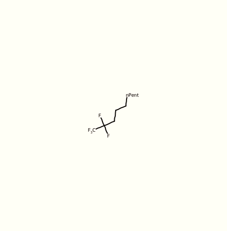 CCCCCCCCC(F)(F)C(F)(F)F